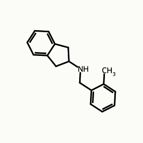 Cc1ccccc1CNC1Cc2ccccc2C1